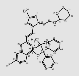 CC(C)(C)[Si](Oc1cc(C=Cc2cc(Br)nn2CCOC2CCCCO2)cc2cc(F)ccc12)(c1ccccc1)c1ccccc1